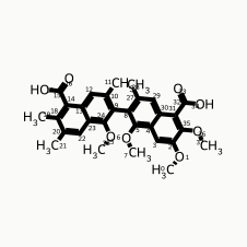 COc1cc2c(OC)c(-c3c(C)cc4c(C(=O)O)c(C)c(C)cc4c3OC)c(C)cc2c(C(=O)O)c1OC